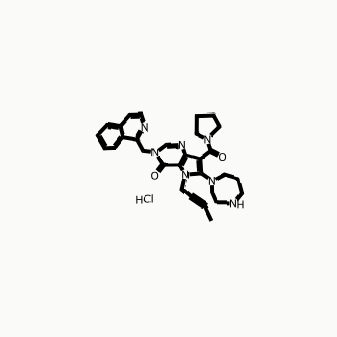 CC#CCn1c(N2CCCNCC2)c(C(=O)N2CCCC2)c2ncn(Cc3nccc4ccccc34)c(=O)c21.Cl